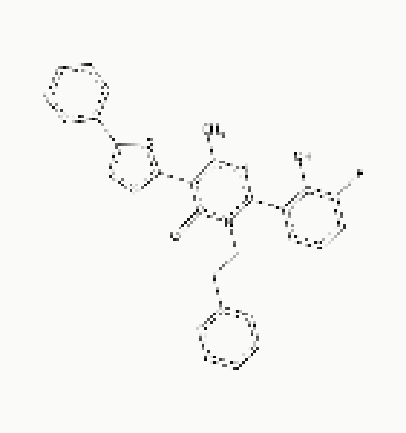 Cc1nc(-c2cccc(F)c2O)n(CCc2ccccc2)c(=O)c1-c1ccc(-c2cccnc2)s1